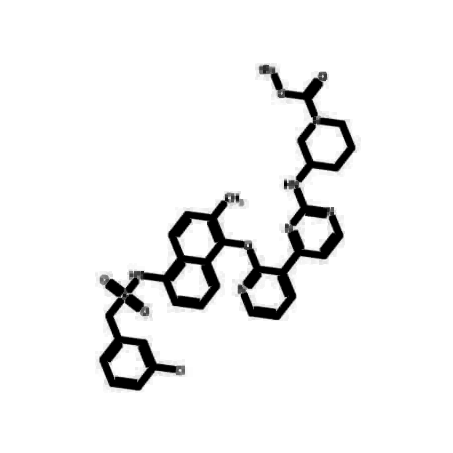 Cc1ccc2c(NS(=O)(=O)Cc3cccc(Cl)c3)cccc2c1Oc1ncccc1-c1ccnc(NC2CCCN(C(=O)OC(C)(C)C)C2)n1